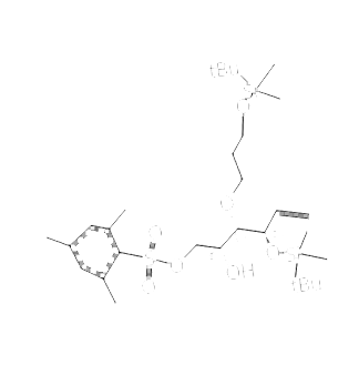 C=C[C@@H](O[Si](C)(C)C(C)(C)C)[C@@H](OCCCO[Si](C)(C)C(C)(C)C)[C@H](O)COS(=O)(=O)c1c(C)cc(C)cc1C